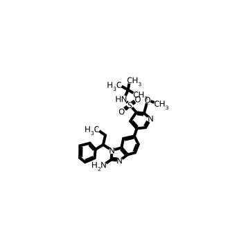 CCC(c1ccccc1)n1c(N)nc2ccc(-c3cnc(OC)c(S(=O)(=O)NC(C)(C)C)c3)cc21